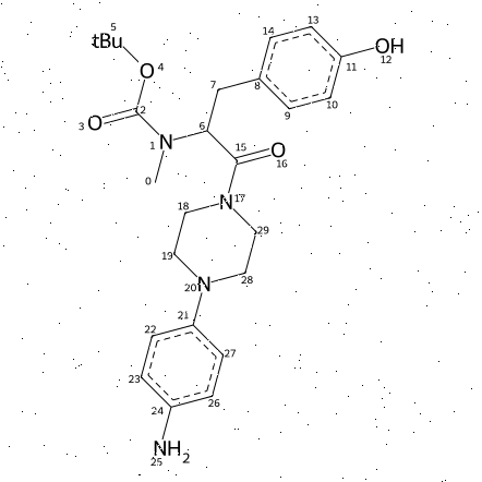 CN(C(=O)OC(C)(C)C)C(Cc1ccc(O)cc1)C(=O)N1CCN(c2ccc(N)cc2)CC1